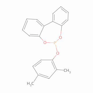 Cc1ccc(Op2oc3ccccc3c3ccccc3o2)c(C)c1